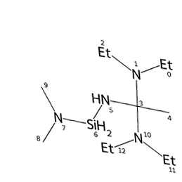 CCN(CC)C(C)(N[SiH2]N(C)C)N(CC)CC